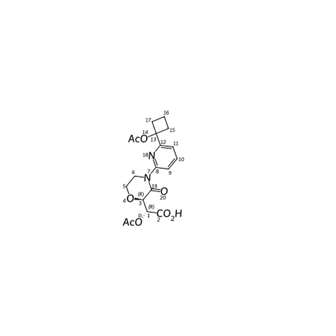 CC(=O)O[C@@H](C(=O)O)[C@H]1OCCN(c2cccc(C3(OC(C)=O)CCC3)n2)C1=O